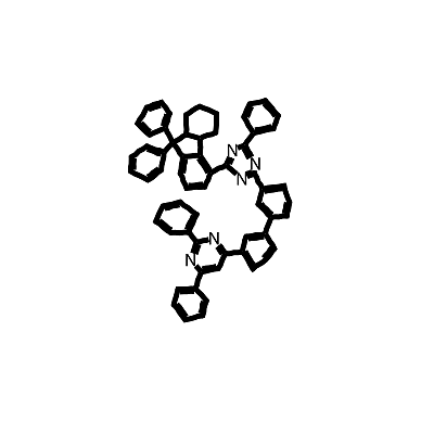 c1ccc(-c2cc(-c3cccc(-c4cccc(-c5nc(-c6ccccc6)nc(-c6cccc7c6C6CCCCC6C7(c6ccccc6)c6ccccc6)n5)c4)c3)nc(-c3ccccc3)n2)cc1